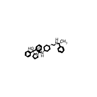 C[C@@H](NCC[C@H]1CC[C@H](NC(=O)N2CCC[C@@H]2C(O)(c2ccccc2)c2ccccc2)CC1)c1ccccc1